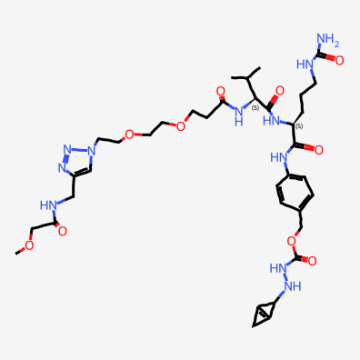 COCC(=O)NCc1cn(CCOCCOCCC(=O)N[C@H](C(=O)N[C@@H](CCCNC(N)=O)C(=O)Nc2ccc(COC(=O)NNC3C4=C3C4)cc2)C(C)C)nn1